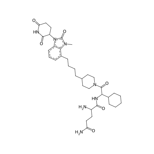 Cn1c(=O)n(C2CCC(=O)NC2=O)c2cccc(CCCCC3CCN(C(=O)C(NC(=O)C(N)CCC(N)=O)C4CCCCC4)CC3)c21